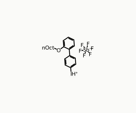 CCCCCCCCOc1ccccc1-c1ccc([IH+])cc1.[F][Sb-]([F])([F])([F])([F])[F]